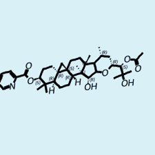 CC(=O)O[C@@H]([C@H]1C[C@@H](C)C2C(O1)[C@H](O)[C@@]1(C)[C@@H]3CC[C@H]4C(C)(C)[C@@H](OC(=O)c5ccccn5)CC[C@@]45C[C@@]35CC[C@]21C)C(C)(C)O